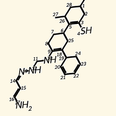 CC1CC(S)=C(C2CCC(NCN/N=C\C=C\N)=C(C3C=CC=CC3)C2)C(C)C1